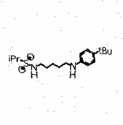 CC(C)S(=O)(=O)NCCCCCNc1ccc(C(C)(C)C)cc1